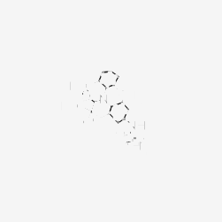 Cc1cccc(C)c1N1C(=O)C(C)(C)Oc2cc(NS(C)(=O)=O)ccc21